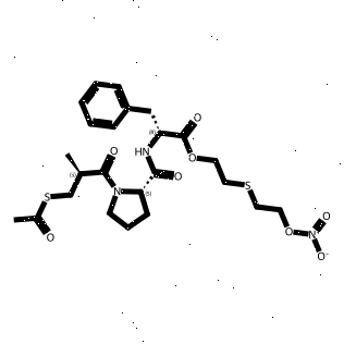 CC(=O)SC[C@@H](C)C(=O)N1CCC[C@H]1C(=O)N[C@H](Cc1ccccc1)C(=O)OCCSCCO[N+](=O)[O-]